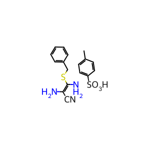 Cc1ccc(S(=O)(=O)O)cc1.N#C/C(N)=C(\N)SCc1ccccc1